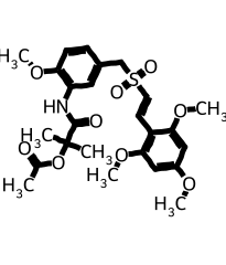 COc1cc(OC)c(C=CS(=O)(=O)Cc2ccc(OC)c(NC(=O)C(C)(C)OC(C)=O)c2)c(OC)c1